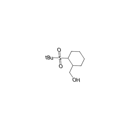 CC(C)(C)S(=O)(=O)C1CCCCC1CO